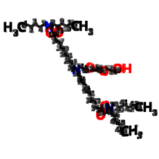 CCCCCCN(CCCCCC)OC(=O)CCCCCCCCCN(CCCCCCCCCC(=O)ON(CCCCCC)CCCCCC)CCOCCOCCO